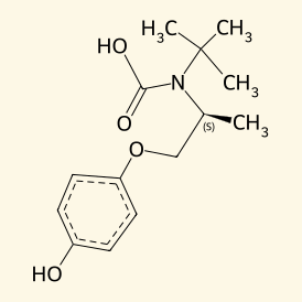 C[C@@H](COc1ccc(O)cc1)N(C(=O)O)C(C)(C)C